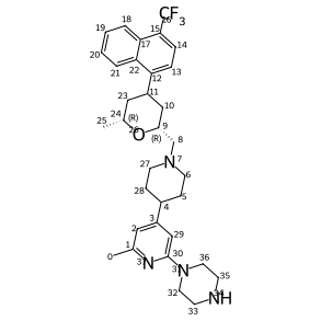 Cc1cc(C2CCN(C[C@H]3CC(c4ccc(C(F)(F)F)c5ccccc45)C[C@@H](C)O3)CC2)cc(N2CCNCC2)n1